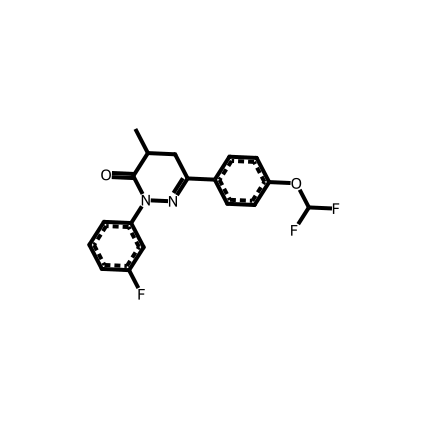 CC1CC(c2ccc(OC(F)F)cc2)=NN(c2cccc(F)c2)C1=O